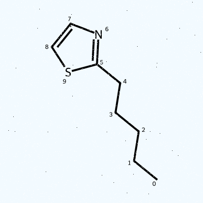 CCCCCc1n[c]cs1